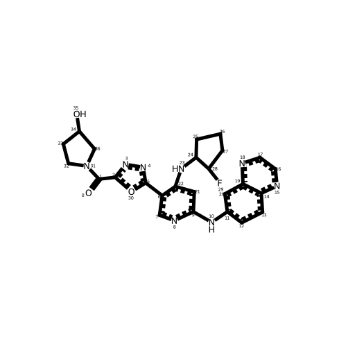 O=C(c1nnc(-c2cnc(Nc3ccc4nccnc4c3)cc2NC2CCCC2F)o1)N1CCC(O)C1